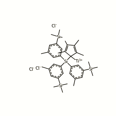 CC1=C(C)[C]([Ti+3])([Si](c2cc(C)cc([Si](C)(C)C)c2)(c2cc(C)cc([Si](C)(C)C)c2)c2cc(C)cc([Si](C)(C)C)c2)C(C)=C1C.[Cl-].[Cl-].[Cl-]